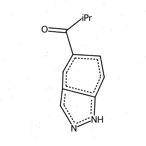 CC(C)C(=O)c1ccc2[nH]ncc2c1